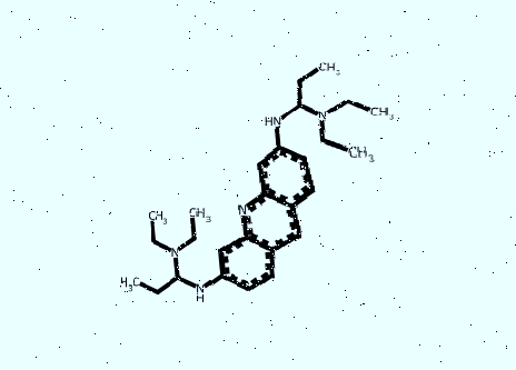 CCC(Nc1ccc2cc3ccc(NC(CC)N(CC)CC)cc3nc2c1)N(CC)CC